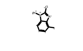 Cc1cccc2c1nc(Cl)n2C(C)C